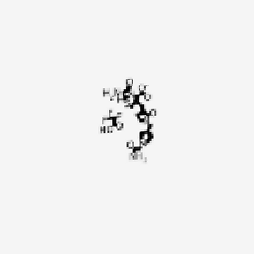 NC(=O)C[n+]1ccc(CN2CC/C(=C\C3=C(C(=O)[O-])N4C(=O)[C@@H](N)[C@H]4SC3)C2=O)cc1.O=C(O)C(F)(F)F